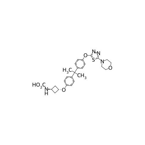 CC(C)(c1ccc(Oc2nnc(N3CCOCC3)s2)cc1)c1ccc(O[C@H]2C[C@H](NC(=O)O)C2)cc1